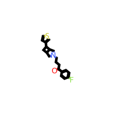 O=C(CCCN1CC2CC(c3ccsc3)C2C1)c1ccc(F)cc1